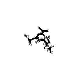 COC(=O)c1cc(C(C)=O)n2ncc(OC(C)=O)c2n1